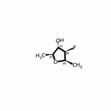 C[C@@H]1O[C@H](C)[C@H](F)[C@H]1O